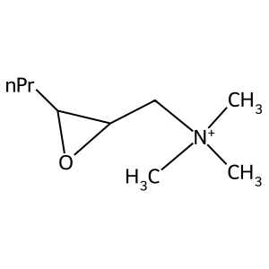 CCCC1OC1C[N+](C)(C)C